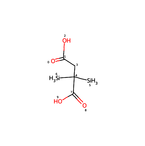 O=C(O)CC([SiH3])([SiH3])C(=O)O